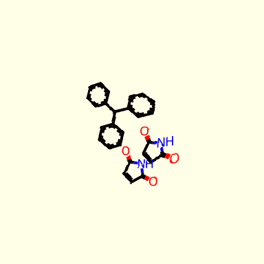 O=C1C=CC(=O)N1.O=C1C=CC(=O)N1.c1ccc(C(c2ccccc2)c2ccccc2)cc1